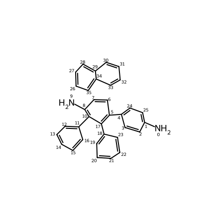 Nc1ccc(-c2ccc(N)c(-c3ccccc3)c2-c2ccccc2)cc1.c1ccc2ccccc2c1